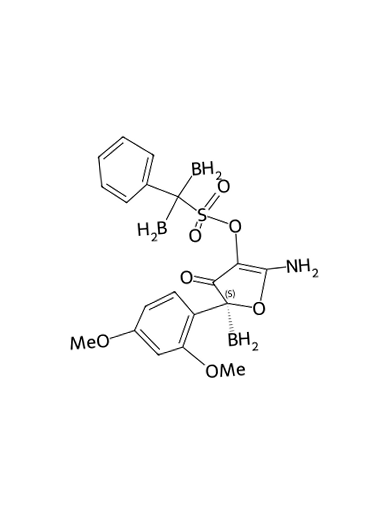 BC(B)(c1ccccc1)S(=O)(=O)OC1=C(N)O[C@@](B)(c2ccc(OC)cc2OC)C1=O